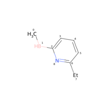 CBc1cccc(CC)n1